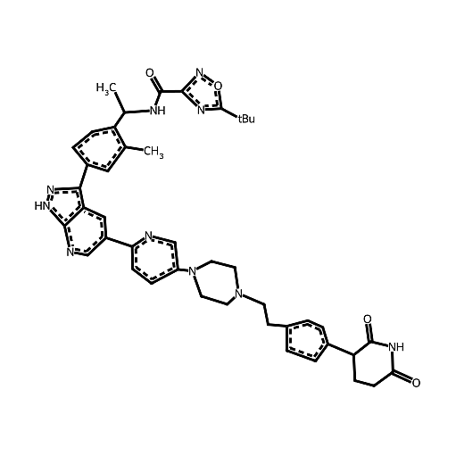 Cc1cc(-c2n[nH]c3ncc(-c4ccc(N5CCN(CCc6ccc(C7CCC(=O)NC7=O)cc6)CC5)cn4)cc23)ccc1C(C)NC(=O)c1noc(C(C)(C)C)n1